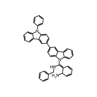 NC1C=CC=C/C1=C(/NCc1ccccc1)n1c2ccccc2c2cc(-c3ccc4c(c3)c3ccccc3n4-c3ccccc3)ccc21